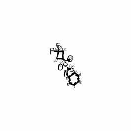 O=S(=O)(c1nc2ccccc2s1)C1CC(F)(F)C1